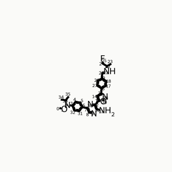 CON(c1ccc(-c2cnc(N)c(-c3cc(-c4ccc(CNC(C)CF)cc4)no3)n2)cc1)C(C)C